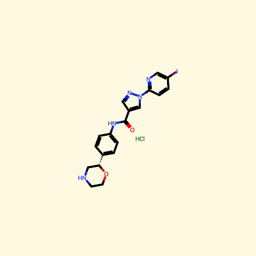 Cl.O=C(Nc1ccc([C@H]2CNCCO2)cc1)c1cnn(-c2ccc(I)cn2)c1